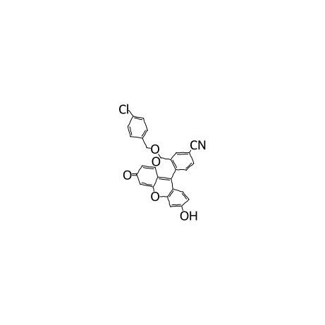 N#Cc1ccc(-c2c3ccc(=O)cc-3oc3cc(O)ccc23)c(C(=O)OCc2ccc(Cl)cc2)c1